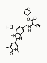 Cc1cc(-c2nc3cc(CNC(C(=O)OC4CCOC4)C(C)C)ccc3n2C)cn(C)c1=O.Cl